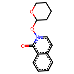 O=c1c2ccccc2ccn1OC1CCCCO1